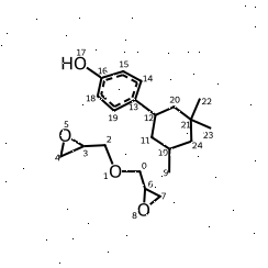 C(OCC1CO1)C1CO1.CC1CC(c2ccc(O)cc2)CC(C)(C)C1